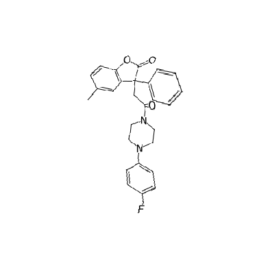 Cc1ccc2c(c1)C(CC(=O)N1CCN(c3ccc(F)cc3)CC1)(c1ccccc1)C(=O)O2